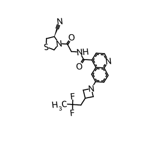 CC(F)(F)CC1CN(c2ccc3nccc(C(=O)NCC(=O)N4CSC[C@H]4C#N)c3c2)C1